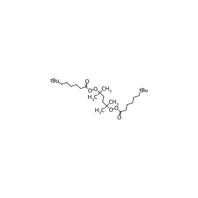 CC(C)(C)CCCCCC(=O)OOC(C)(C)CCC(C)(C)OOC(=O)CCCCCC(C)(C)C